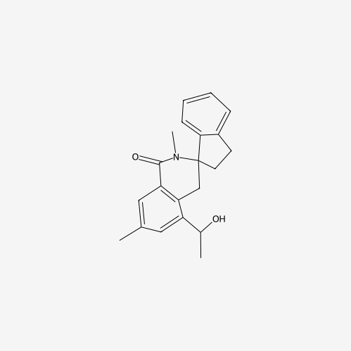 Cc1cc2c(c(C(C)O)c1)CC1(CCc3ccccc31)N(C)C2=O